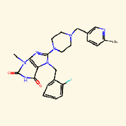 Cn1c(=O)[nH]c(=O)c2c1nc(N1CCN(Cc3ccc(C(C)(C)C)nc3)CC1)n2Cc1ccccc1F